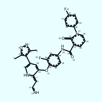 Cc1noc(C)c1C1=CN/C(=C\C=N)C(Oc2ccc(NC(=O)c3cccn(-c4ccc(F)cc4)c3=O)cc2F)=C1